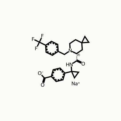 O=C([O-])c1ccc(C2(NC(=O)[C@H]3CC4(CCN3Cc3ccc(C(F)(F)F)cc3)CC4)CC2)cc1.[Na+]